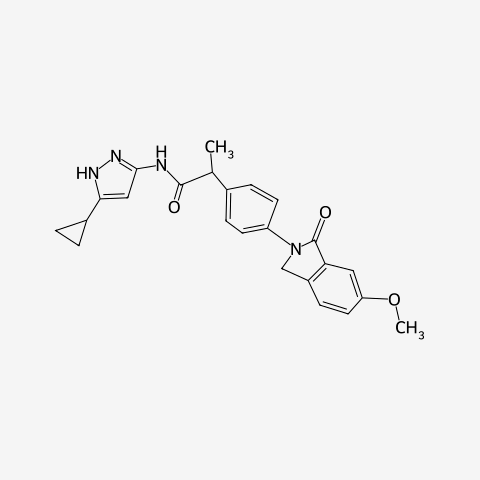 COc1ccc2c(c1)C(=O)N(c1ccc(C(C)C(=O)Nc3cc(C4CC4)[nH]n3)cc1)C2